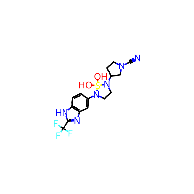 N#CN1CCC(N2CCN(c3ccc4[nH]c(C(F)(F)F)nc4c3)S2(O)O)C1